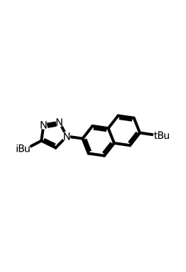 CCC(C)c1cn(-c2ccc3cc(C(C)(C)C)ccc3c2)nn1